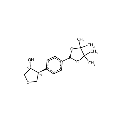 CC1(C)OB(c2ccc([C@H]3COC[C@@H]3O)cc2)OC1(C)C